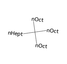 CCCCCCCCC(CCCCCCC)(CCCCCCCC)CCCCCCCC